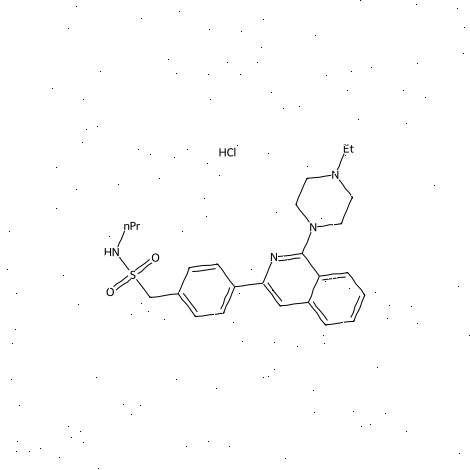 CCCNS(=O)(=O)Cc1ccc(-c2cc3ccccc3c(N3CCN(CC)CC3)n2)cc1.Cl